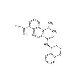 C=C(C)c1cccc2c(N(C)C)c(C(=O)N[C@H]3CCOc4ccccc43)cnc12